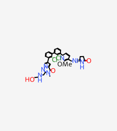 COc1nc(-c2cccc(-c3cccc(-c4cc5c(=O)n(C)c(CNCCO)nn5c4)c3Cl)c2Cl)ccc1CNC[C@@H]1CCC(=O)N1